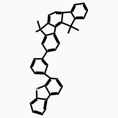 CC1(C)c2cc(-c3cccc(-c4cccc5c4sc4ccccc45)c3)ccc2-c2c1ccc1c2C(C)(C)c2ccccc2-1